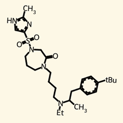 CCN(CCCCN1CCCN(S(=O)(=O)c2c[nH]c(C)n2)CC1=O)C(C)Cc1ccc(C(C)(C)C)cc1